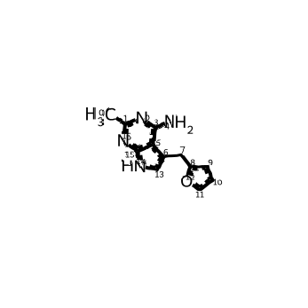 Cc1nc(N)c2c(Cc3ccco3)c[nH]c2n1